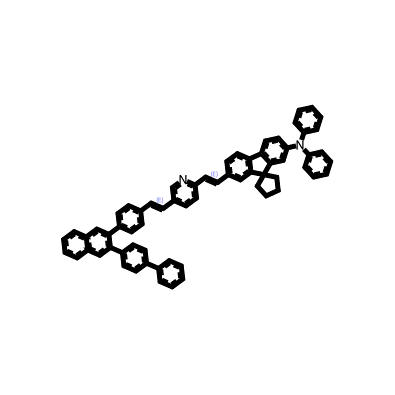 C(=C\c1ccc(/C=C/c2ccc3c(c2)C2(CCCC2)c2cc(N(c4ccccc4)c4ccccc4)ccc2-3)nc1)/c1ccc(-c2cc3ccccc3cc2-c2ccc(-c3ccccc3)cc2)cc1